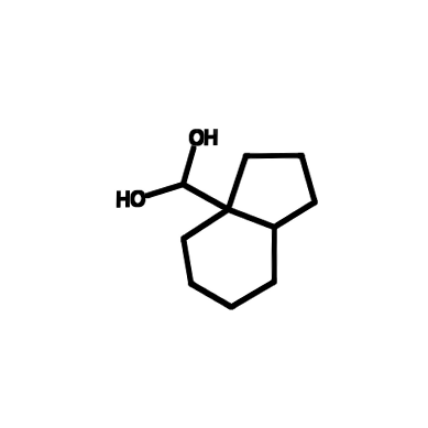 OC(O)C12CCCCC1CCC2